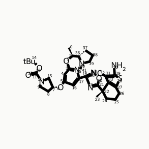 C[C@H](Oc1cc(O[C@@H]2CCN(C(=O)OC(C)(C)C)C2)cc(-c2noc([C@@]3(C)CCCc4sc(N)c(C#N)c43)n2)n1)[C@@H]1CCCN1C